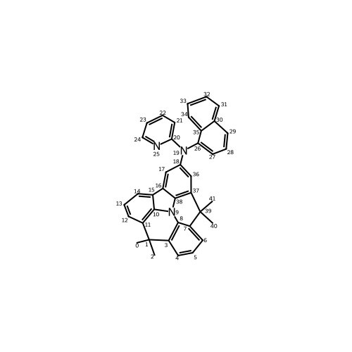 CC1(C)c2cccc3c2-n2c4c1cccc4c1cc(N(c4ccccn4)c4cccc5ccccc45)cc(c12)C3(C)C